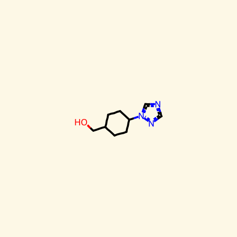 OCC1CCC(n2cncn2)CC1